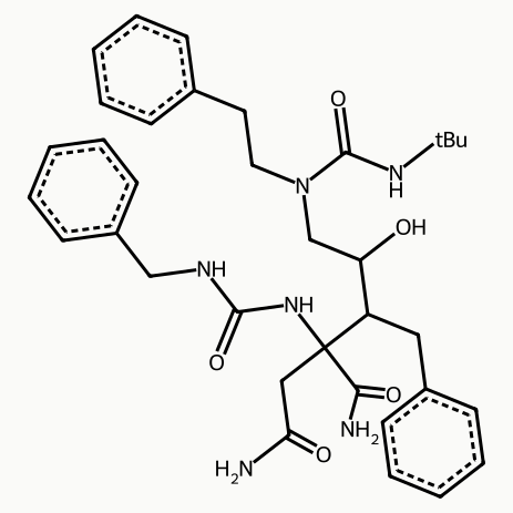 CC(C)(C)NC(=O)N(CCc1ccccc1)CC(O)C(Cc1ccccc1)C(CC(N)=O)(NC(=O)NCc1ccccc1)C(N)=O